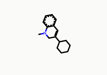 CN1CC(C2CCCCC2)=Cc2ccccc21